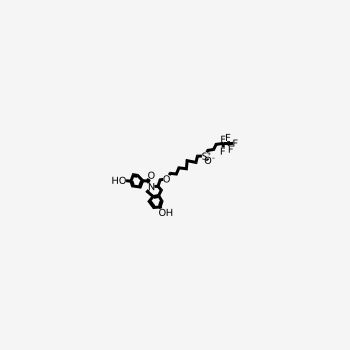 O=C(c1ccc(O)cc1)N1Cc2ccc(O)cc2CC1COCCCCCCC[S+]([O-])CCCC(F)(F)C(F)(F)F